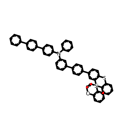 c1ccc(-c2ccc(-c3ccc(N(c4ccccc4)c4cccc(-c5ccc(-c6ccc7c(c6)[Si]6(c8ccccc8Oc8ccccc86)c6ccccc6S7)cc5)c4)cc3)cc2)cc1